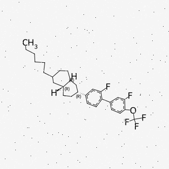 CCCCCCC1CC[C@@H]2C[C@H](c3ccc(-c4ccc(OC(F)(F)F)c(F)c4)c(F)c3)CC[C@@H]2C1